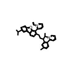 C=C[n+]1ccccc1-c1c(CCC2c3cc(C)ccc3-c3cccc[n+]3C2C)ccc2c1oc1ccc(C(C)C)cc12